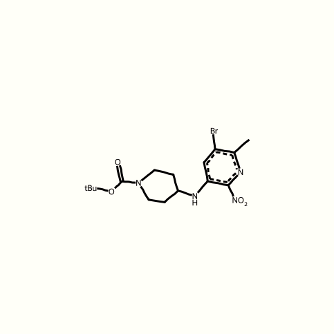 Cc1nc([N+](=O)[O-])c(NC2CCN(C(=O)OC(C)(C)C)CC2)cc1Br